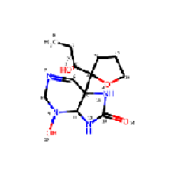 CC[C@H](O)C1(C23C=NCN(O)C2NC(=O)N3)CCCO1